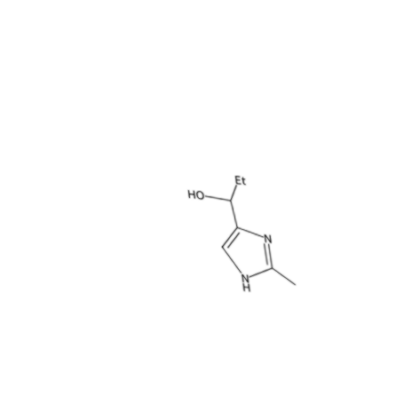 CCC(O)c1c[nH]c(C)n1